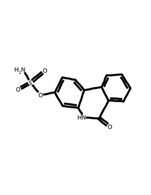 NS(=O)(=O)Oc1ccc2c(c1)[nH]c(=O)c1ccccc12